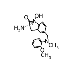 COc1ccccc1N(C)Cc1ccc2c(c1)C[C@H](N)C(=O)N2O